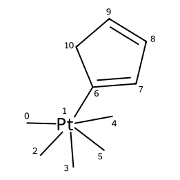 [CH3][Pt]([CH3])([CH3])([CH3])([CH3])[C]1=CC=CC1